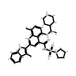 Cc1c(-c2cc(C(=O)NS(=O)(=O)N3CCCC3)c3c(O[C@H](C)C4CCOCC4)ccc(C)c3n2)oc2ccccc12